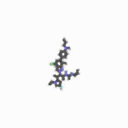 C=CN1CC(F)CC1C(C)C(C(=C)N/C(C)=N/C=C\C)n1cc2c(Cl)cc(-c3ccc(N(C)CCC)cc3)c(C)c2n1